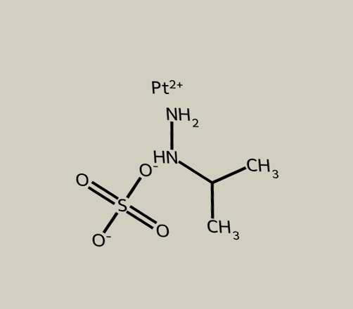 CC(C)NN.O=S(=O)([O-])[O-].[Pt+2]